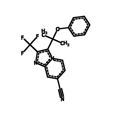 CC(C)(Oc1ccccc1)c1c(C(F)(F)F)nc2cc(C#N)ccn12